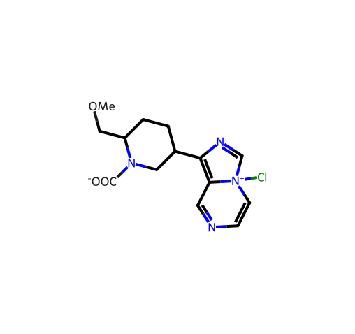 COCC1CCC(C2=C3C=NC=C[N+]3(Cl)C=N2)CN1C(=O)[O-]